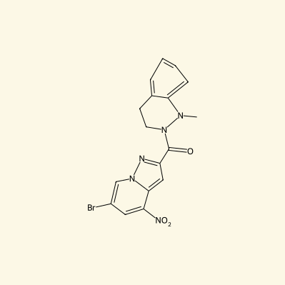 CN1c2ccccc2CCN1C(=O)c1cc2c([N+](=O)[O-])cc(Br)cn2n1